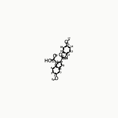 COc1ccc2c(c1)cc(-c1nc3ccc(OC)cc3o1)n2C(=O)O